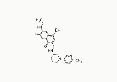 CCNc1cc2c(cc1F)c(=O)c(CN[C@H]1CCCN(c3ccc(C)nc3)C1)cn2C1CC1